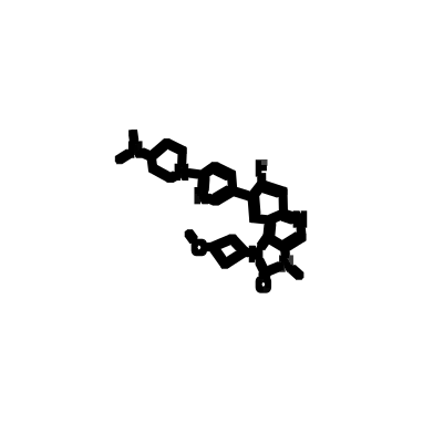 COC1CC(n2c(=O)n(C)c3cnc4cc(F)c(-c5ccc(N6CCC(N(C)C)CC6)nc5)cc4c32)C1